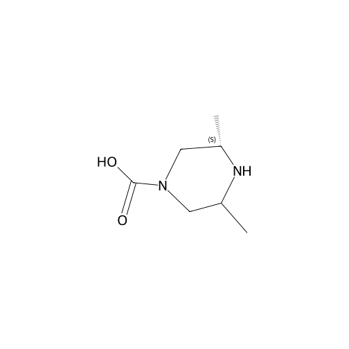 CC1CN(C(=O)O)C[C@H](C)N1